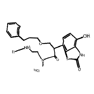 CCNCCN(C)C(=O)C(COCCc1ccccc1)c1ccc(O)c2[nH]c(=O)sc12.Cl